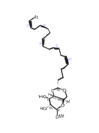 CC/C=C\C/C=C\C/C=C\C/C=C\C/C=C\CCC[C@@H]1OC[C@H]2O[C@@H](OC)[C@H](O)[C@@H](O)[C@@H]2O1